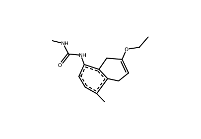 CCOC1=CCc2c(C)ccc(NC(=O)NC)c2C1